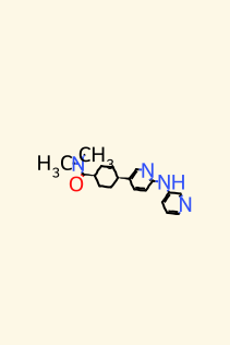 CN(C)C(=O)[C@H]1CC[C@@H](c2ccc(Nc3cccnc3)nc2)CC1